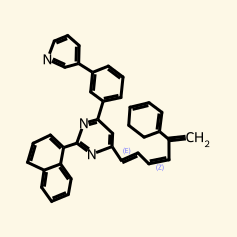 C=C(/C=C\C=C\c1cc(-c2cccc(-c3cccnc3)c2)nc(-c2cccc3ccccc23)n1)C1=CC=CCC1